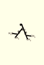 CCCCCCCC(CCCCC)CCOC(=O)CCCCCCN(CCCn1ccnc1)CC(O)CCCCC(=O)OCCC(CCCCC)CCCCCCC